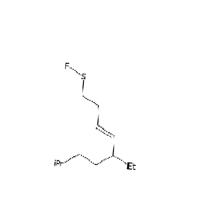 CCC(C=CCCSF)CCC(C)C